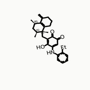 C=C1CCCC2=C1[C@H](C)C[C@H](C)[C@@]2(C)CC1=C(O)C(Nc2ccccc2CC)=CC(=O)C1=O